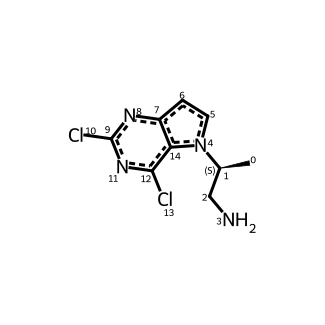 C[C@@H](CN)n1ccc2nc(Cl)nc(Cl)c21